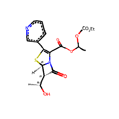 CCOC(=O)OC(C)OC(=O)C1=C(c2cccnc2)S[C@@H]2[C@@H]([C@@H](C)O)C(=O)N12